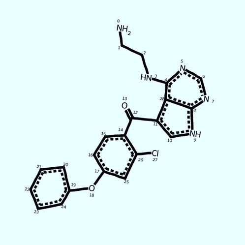 NCCNc1ncnc2[nH]cc(C(=O)c3ccc(Oc4ccccc4)cc3Cl)c12